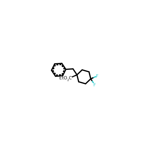 CCOC(=O)C1(Cc2ccccc2)CCC(F)(F)CC1